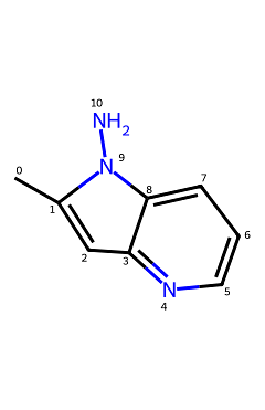 Cc1cc2ncccc2n1N